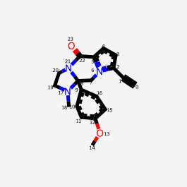 C#Cc1ccc2n1CC1(c3ccc(OC)cc3)N(C)CCN1C2=O